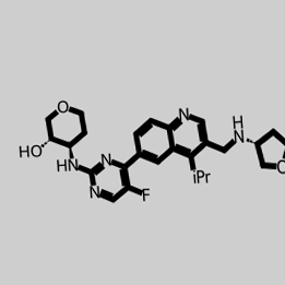 CC(C)c1c(CN[C@@H]2CCOC2)cnc2ccc(-c3nc(N[C@@H]4CCOC[C@H]4O)ncc3F)cc12